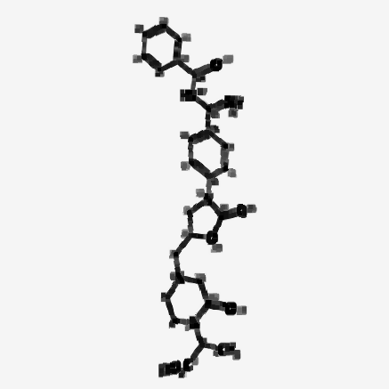 CCOC(=O)C(C)N1CCN(CC2CN(c3ccc(C(=N)NC(=O)c4ccccc4)cc3)C(=O)O2)CC1=O